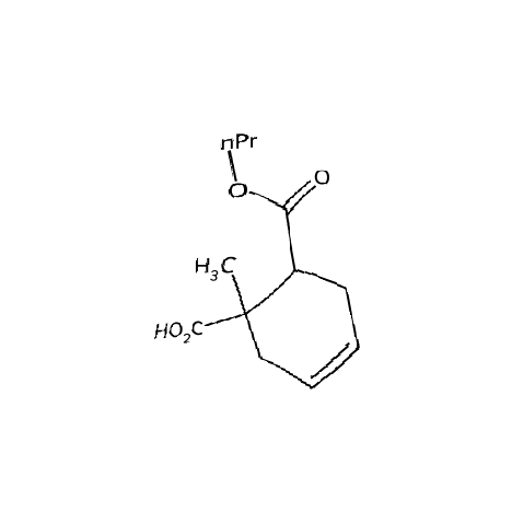 CCCOC(=O)C1CC=CCC1(C)C(=O)O